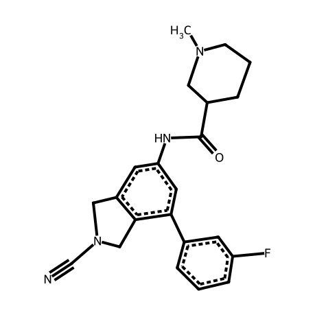 CN1CCCC(C(=O)Nc2cc3c(c(-c4cccc(F)c4)c2)CN(C#N)C3)C1